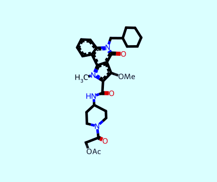 COc1c(C(=O)NC2CCN(C(=O)COC(C)=O)CC2)n(C)c2c1c(=O)n(CC1CCCCC1)c1ccccc21